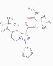 CNC(=O)[C@@H](NC(=O)c1nc(-c2ccccc2)n2c1CN(C(=O)C(C)(C)C)CC2)C(C)(C)C